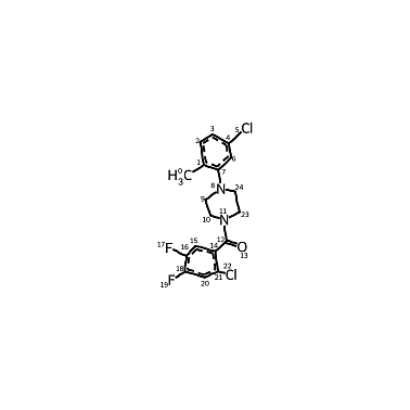 Cc1ccc(Cl)cc1N1CCN(C(=O)c2cc(F)c(F)cc2Cl)CC1